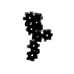 c1ccc(-c2nc(-c3ccc4c(c3)C3(c5ccccc5O4)c4ccccc4-c4ccccc43)nc(-c3ccc4c(c3)oc3ccccc34)n2)cc1